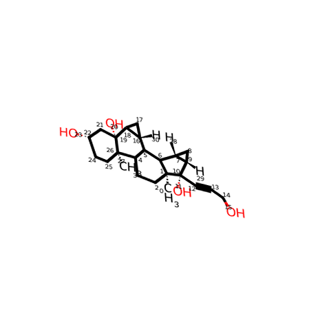 C[C@]12CCC3C(C1[C@@H]1C[C@@H]1[C@@]2(O)C#CCO)[C@H]1CC1[C@]1(O)C[C@@H](O)CC[C@]31C